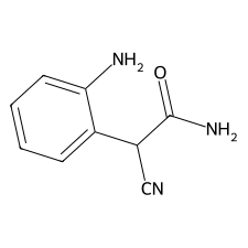 N#CC(C(N)=O)c1ccccc1N